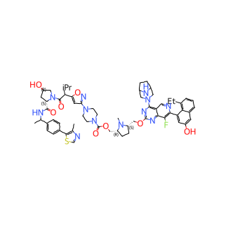 CCc1cccc2cc(O)cc(-c3ncc4c(N5CC6CCC(C5)N6)nc(OC[C@@H]5CC[C@H](COC(=O)N6CCN(c7cc(C(C(=O)N8C[C@H](O)C[C@H]8C(=O)NC(C)c8ccc(-c9scnc9C)cc8)C(C)C)on7)CC6)N5C)nc4c3F)c12